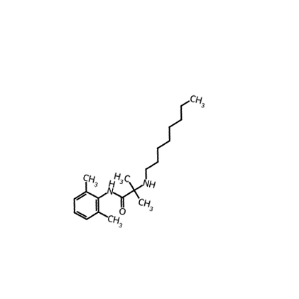 CCCCCCCCNC(C)(C)C(=O)Nc1c(C)cccc1C